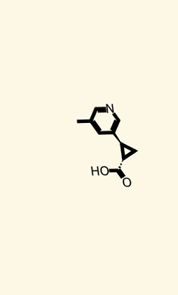 Cc1cncc([C@H]2C[C@@H]2C(=O)O)c1